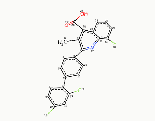 Cc1c(-c2ccc(-c3ccc(F)cc3F)cc2)nc2c(F)cccc2c1C(=O)O